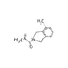 CNC(=O)N1Cc2cccc(C)c2C1